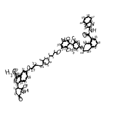 Cc1c(OCCCN2CCN(CCCOc3ccc4c(C5CCC(=O)NC5=O)nn(C)c4c3)CC2)cccc1-c1ccc(N2CCc3cccc(C(=O)Nc4nc5ccccc5s4)c3C2)nc1C(=O)O